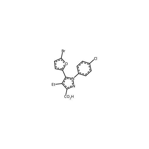 CCc1c(C(=O)O)nn(-c2ccc(Cl)cc2)c1-c1ccc(Br)o1